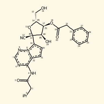 CC(C)CC(=O)Nc1ncnn2c([C@]3(C#N)O[C@H](CO)[C@@H](OC(=O)Cc4ccccc4)[C@H]3O)ccc12